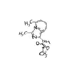 Cc1cccc2c(NS(C)(=O)=O)nc(C)n12